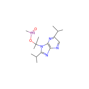 CC(C)c1cnc2nc(C(C)C)n(C(C)(C)O[PH](C)=O)c2n1